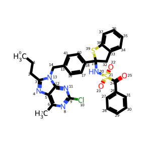 CCCc1nc2c(C)nc(Cl)nc2n1Cc1ccc(C2(NS(=O)(=O)C(=O)c3ccccc3)Cc3ccccc3S2)cc1